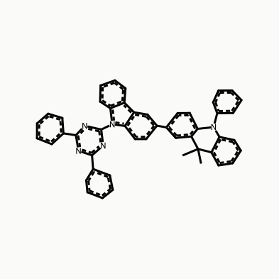 CC1(C)c2ccccc2N(c2ccccc2)c2ccc(-c3ccc4c(c3)c3ccccc3n4-c3nc(-c4ccccc4)nc(-c4ccccc4)n3)cc21